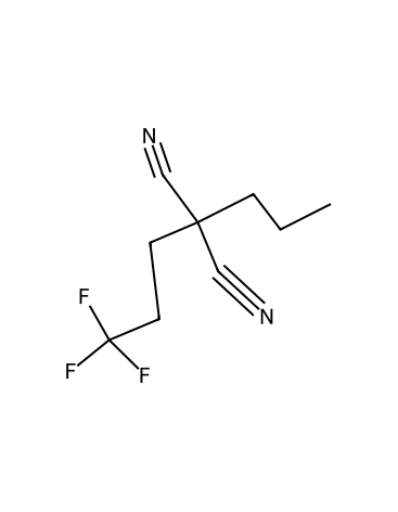 CCCC(C#N)(C#N)CCC(F)(F)F